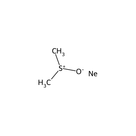 C[S+](C)[O-].[Ne]